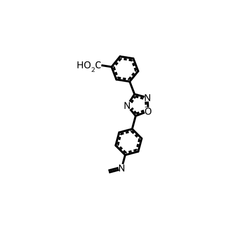 C=Nc1ccc(-c2nc(-c3cccc(C(=O)O)c3)no2)cc1